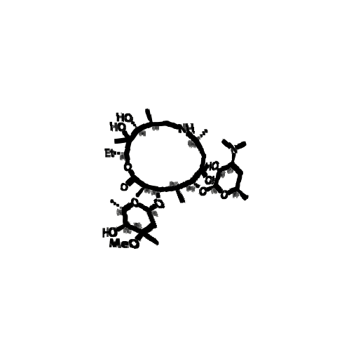 CC[C@H]1OC(=O)[C@H](C)[C@@H](O[C@H]2C[C@@](C)(OC)[C@@H](O)[C@H](C)O2)[C@H](C)[C@@H](O[C@@H]2O[C@H](C)C[C@H](N(C)C)[C@H]2O)C(C)(O)C[C@@H](C)NC[C@H](C)[C@@H](O)C1(C)O